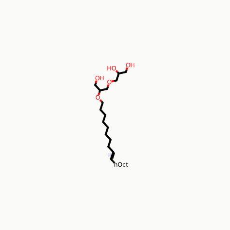 CCCCCCCC/C=C/CCCCCCCCOC(CO)COCC(O)CO